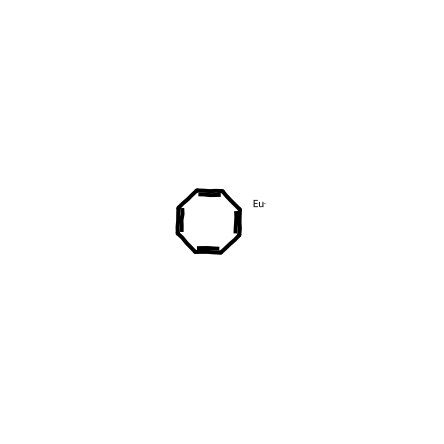 C1=CC=CC=CC=C1.[Eu]